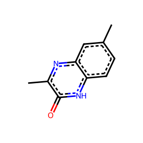 Cc1ccc2[nH]c(=O)c(C)nc2c1